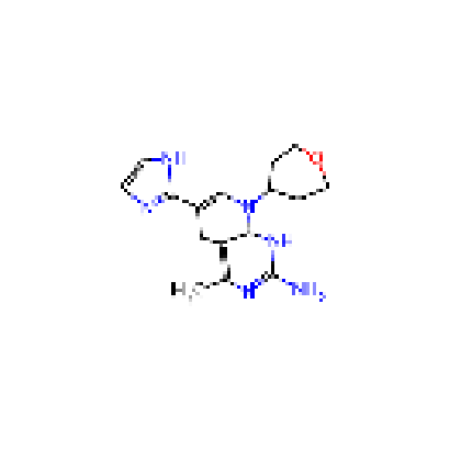 CC1=C2CC(c3ncc[nH]3)=CN(C3CCOCC3)C2NC(N)=N1